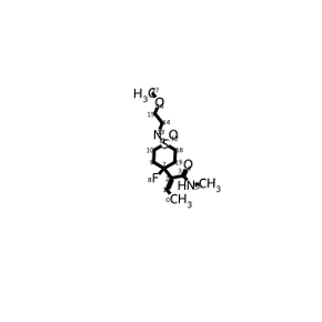 C/C=C(\C(=O)NC)C1(F)CCS(=O)(=NCCOC)CC1